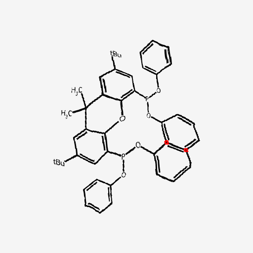 CC(C)(C)c1cc(P(Oc2ccccc2)Oc2ccccc2)c2c(c1)C(C)(C)c1cc(C(C)(C)C)cc(P(Oc3ccccc3)Oc3ccccc3)c1O2